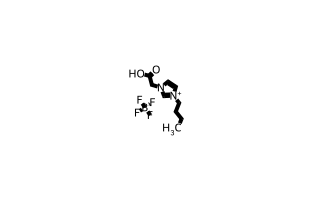 CCCC[n+]1ccn(CC(=O)O)c1.F[B-](F)(F)F